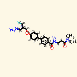 CN(C)C(=O)CCNC(=O)C12CCC(c3ccc(OC/C(=C/F)CN)cc3)(CC1)CC2